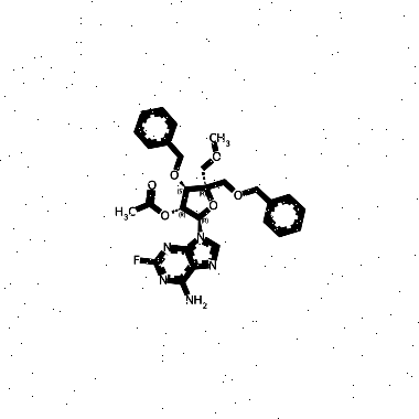 COC[C@]1(COCc2ccccc2)O[C@@H](n2cnc3c(N)nc(F)nc32)[C@H](OC(C)=O)[C@@H]1OCc1ccccc1